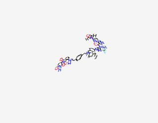 CN(CCc1ccc(CCNc2cccc3c2C(=O)N(C2CCC(=O)NC2=O)C3=O)cc1)CC1CCC(n2cc(NC(=O)c3cnn4ccc(N5C[C@H]6C[C@@H]5CO6)nc34)c(C(F)F)n2)CC1